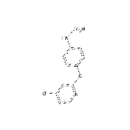 O=C(O)Nc1ccc(Oc2cc(Cl)ncn2)cc1